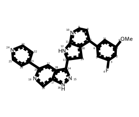 COc1cc(F)cc(-c2ccnc3[nH]c(-c4n[nH]c5cnc(-c6ccncc6)cc45)cc23)c1